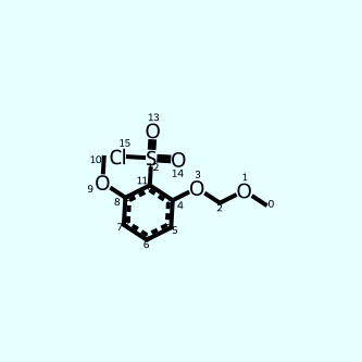 COCOc1cccc(OC)c1S(=O)(=O)Cl